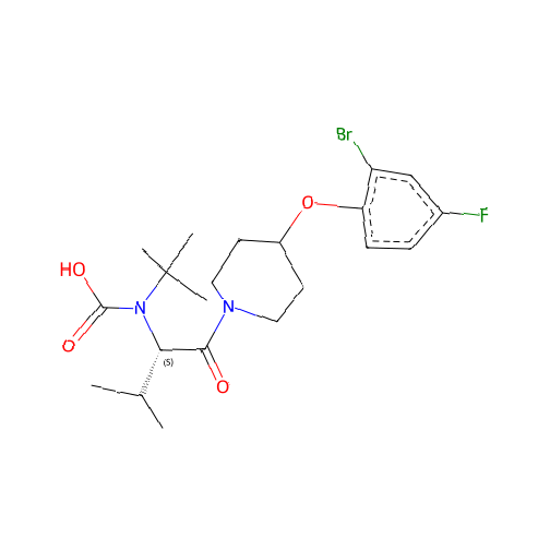 CC(C)[C@@H](C(=O)N1CCC(Oc2ccc(F)cc2Br)CC1)N(C(=O)O)C(C)(C)C